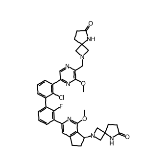 COc1nc(-c2cccc(-c3cccc(-c4cc5c(c(OC)n4)[C@@H](N4CC6(CCC(=O)N6)C4)CC5)c3F)c2Cl)cnc1CN1CC2(CCC(=O)N2)C1